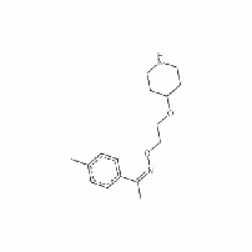 CC(=NOCCOC1CCNCC1)c1ccc(C)cc1